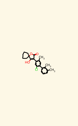 Cc1cc(-c2cccc(C)c2C)c(Cl)cc1C1=C(O)C2(CCCCC2)OC1=O